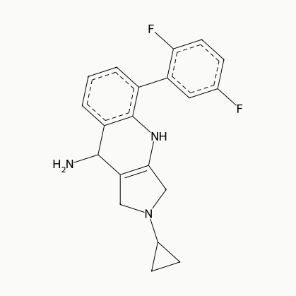 NC1C2=C(CN(C3CC3)C2)Nc2c(-c3cc(F)ccc3F)cccc21